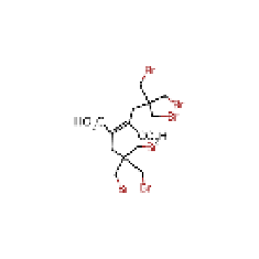 O=C(O)C(CC(CBr)(CBr)CBr)=C(CC(CBr)(CBr)CBr)C(=O)O